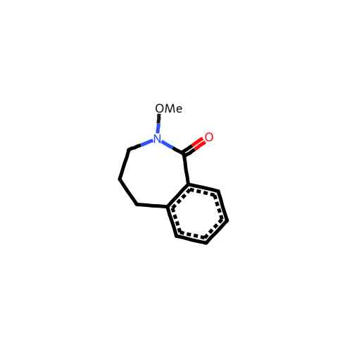 CON1CCCc2ccccc2C1=O